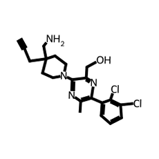 C#CCC1(CN)CCN(c2nc(C)c(-c3cccc(Cl)c3Cl)nc2CO)CC1